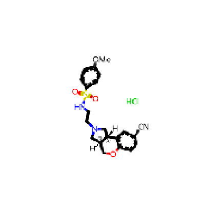 COc1ccc(S(=O)(=O)NCCN2C[C@@H]3COc4ccc(C#N)cc4[C@H]3C2)cc1.Cl